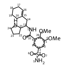 COc1cc(S(N)(=O)=O)cc(C(=O)NC(CC2=CCCCC2)C2CCCN2)c1OC